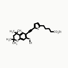 CCOC(=O)CCCCc1ccc(C#Cc2cc3c(cc2SCC)OC(C)(C)CC3(C)C)s1